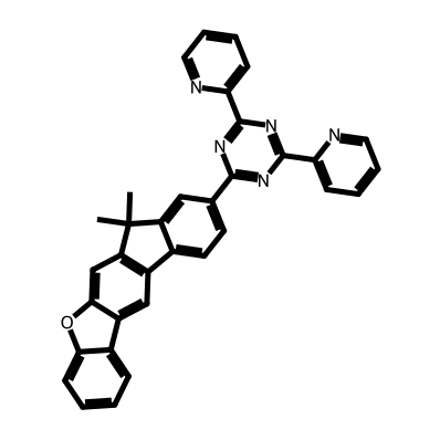 CC1(C)c2cc(-c3nc(-c4ccccn4)nc(-c4ccccn4)n3)ccc2-c2cc3c(cc21)oc1ccccc13